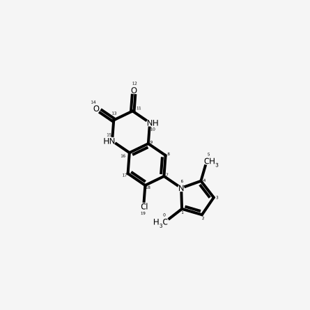 Cc1ccc(C)n1-c1cc2[nH]c(=O)c(=O)[nH]c2cc1Cl